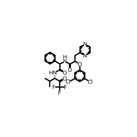 CC(C)[C@H](NC(=O)C(NC(=O)C(Cc1cnccn1)Oc1cc(Cl)cc(Cl)c1)c1ccccc1)C(=O)C(F)(F)F